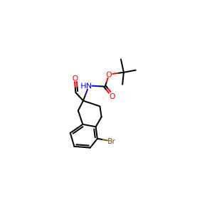 CC(C)(C)OC(=O)NC1(C=O)CCc2c(Br)cccc2C1